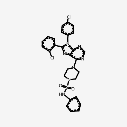 O=S(=O)(Nc1ccccc1)N1CCN(c2ncnc3c2nc(-c2ccccc2Cl)n3-c2ccc(Cl)cc2)CC1